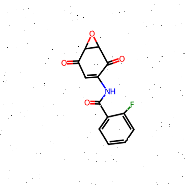 O=C(NC1=CC(=O)C2OC2C1=O)c1ccccc1F